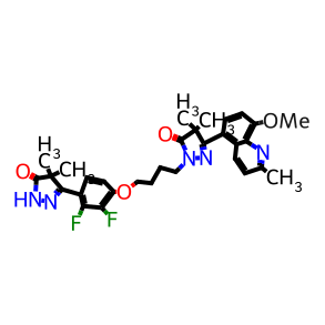 COc1ccc(C2=NN(CCCCOc3ccc(C4=NNC(=O)C4(C)C)c(F)c3F)C(=O)C2(C)C)c2ccc(C)nc12